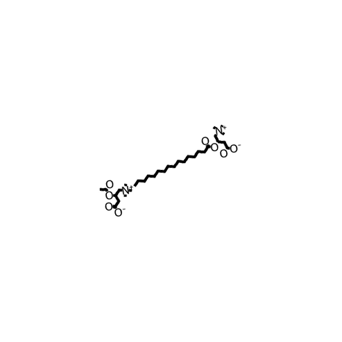 CC(=O)OC(CC(=O)[O-])C[N+](C)(C)C.CCCCCCCCCCCCCCCC(=O)OC(CC(=O)[O-])C[N+](C)(C)C